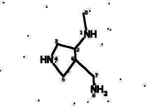 CNC1CNCC1CN